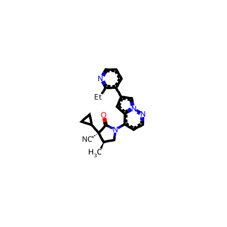 CCc1ncccc1-c1cc2c(N3C[C@@H](C)[C@@](C#N)(C4CC4)C3=O)ccnn2c1